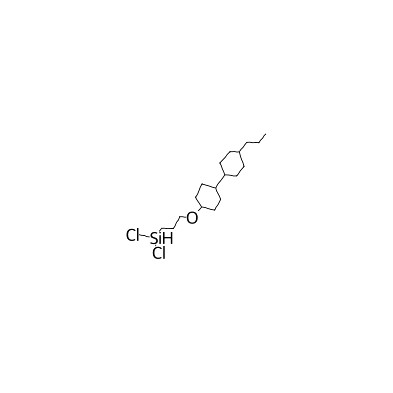 CCCC1CCC(C2CCC(OCCC[SiH](Cl)Cl)CC2)CC1